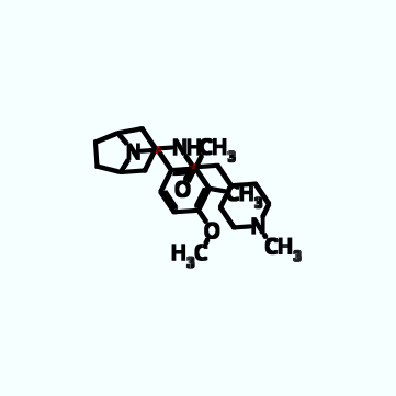 COc1ccc(CN2C3CCC2CC(NC(=O)CC2CCN(C)CC2)C3)c(C)c1C